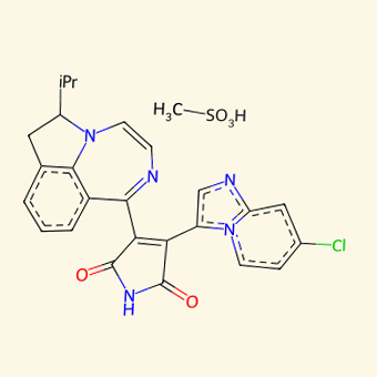 CC(C)C1Cc2cccc3c2N1C=CN=C3C1=C(c2cnc3cc(Cl)ccn23)C(=O)NC1=O.CS(=O)(=O)O